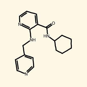 O=C(NC1CCCCC1)c1cccnc1NCc1ccncc1